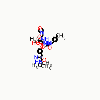 Cc1ccc(CNC(=O)[C@H](COc2cccc(/C=C(\C#N)C(=O)NC(C)(C)C)c2)NC(=O)[C@@H](NC(=O)CN2CCOCC2)[C@@H](C)O)cc1